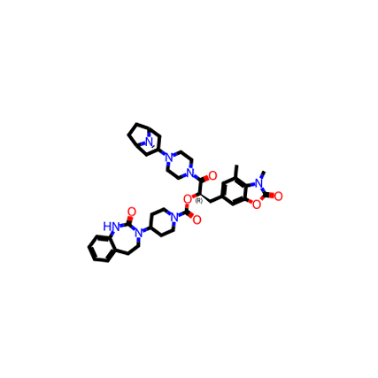 Cc1cc(C[C@@H](OC(=O)N2CCC(N3CCc4ccccc4NC3=O)CC2)C(=O)N2CCN(C3CC4CCC(C3)N4C)CC2)cc2oc(=O)n(C)c12